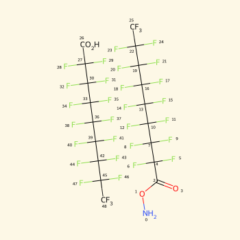 NOC(=O)C(F)(F)C(F)(F)C(F)(F)C(F)(F)C(F)(F)C(F)(F)C(F)(F)C(F)(F)F.O=C(O)C(F)(F)C(F)(F)C(F)(F)C(F)(F)C(F)(F)C(F)(F)C(F)(F)C(F)(F)F